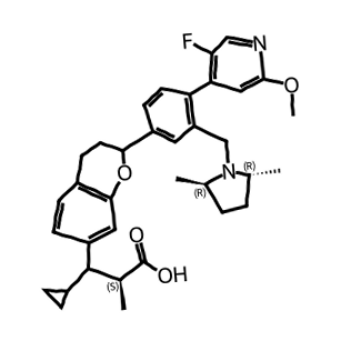 COc1cc(-c2ccc(C3CCc4ccc(C(C5CC5)[C@H](C)C(=O)O)cc4O3)cc2CN2[C@H](C)CC[C@H]2C)c(F)cn1